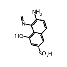 C=Nc1c(N)ccc2cc(S(=O)(=O)O)cc(O)c12